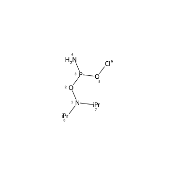 CC(C)N(OP(N)OCl)C(C)C